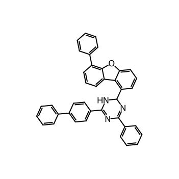 c1ccc(C2=NC(c3cccc4oc5c(-c6ccccc6)cccc5c34)NC(c3ccc(-c4ccccc4)cc3)=N2)cc1